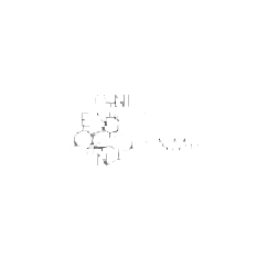 CNCCCOc1ccncc1-c1ccc(C(N)=O)nc1-c1c(F)cccc1F